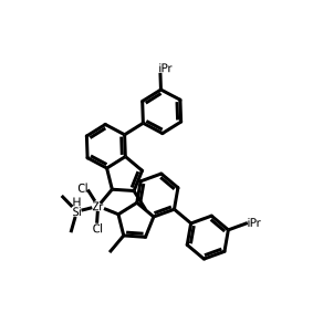 CC1=Cc2c(-c3cccc(C(C)C)c3)cccc2[CH]1[Zr]([Cl])([Cl])([CH]1C(C)=Cc2c(-c3cccc(C(C)C)c3)cccc21)[SiH](C)C